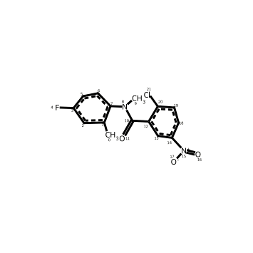 Cc1cc(F)ccc1N(C)C(=O)c1cc([N+](=O)[O-])ccc1Cl